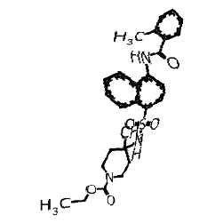 CCOC(=O)N1CCC(C)(NS(=O)(=O)c2ccc(NC(=O)c3ccccc3C)c3ccccc23)CC1